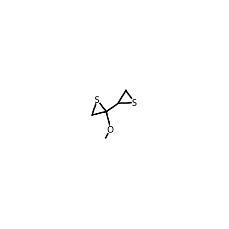 COC1(C2CS2)CS1